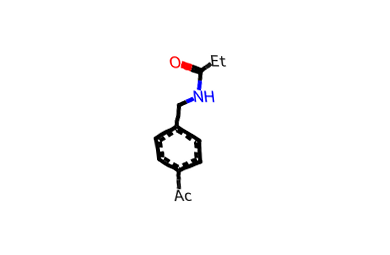 CCC(=O)NCc1ccc(C(C)=O)cc1